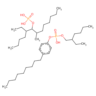 CCCCCCC(C)C(OP(=O)(O)O)C(CC)CCCC.CCCCCCCCCc1ccc(OP(=O)(O)OCC(CC)CCCC)cc1